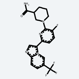 NC(=O)C1CCCN(c2nc(-c3cnc4ccc(C(F)(F)F)cn34)ccc2F)C1